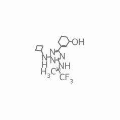 C[C@@H](Nc1nc(NC2CCC2)nc(C2=CC(O)CCC2)n1)C(F)(F)F